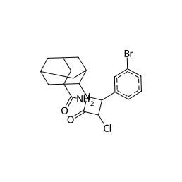 NC(=O)C12CC3CC(CC(C3)C1N1C(=O)C(Cl)C1c1cccc(Br)c1)C2